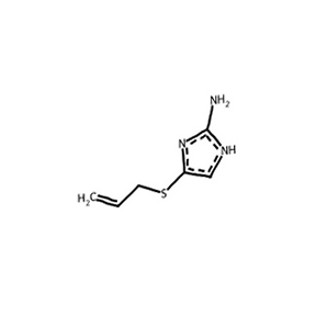 C=CCSc1c[nH]c(N)n1